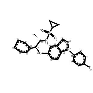 C[C@H](NS(=O)(=O)C1CC1)[C@@H](Oc1ccc2c(cnn2-c2ccc(F)cc2)c1)c1ccccc1